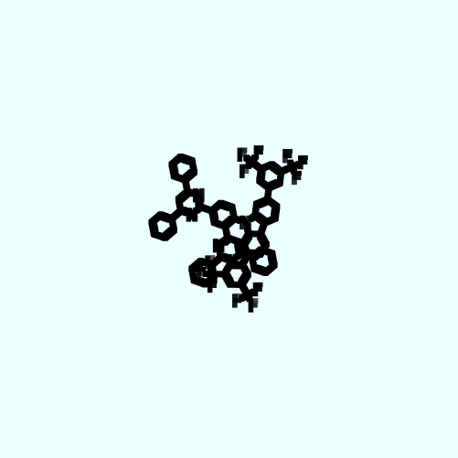 FC(F)(F)c1cc(-c2ccc3c4ccc(-c5cc(C(F)(F)F)cc(C(F)(F)F)c5)cc4n(-c4ccc(-c5nc(-c6ccccc6)cc(-c6ccccc6)n5)cc4-c4cc(-c5ccccc5)nc(-c5ccccc5)n4)c3c2)cc(C(F)(F)F)c1